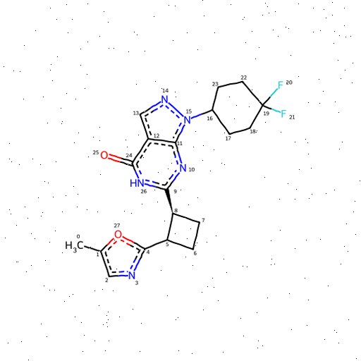 Cc1cnc(C2CC[C@@H]2c2nc3c(cnn3C3CCC(F)(F)CC3)c(=O)[nH]2)o1